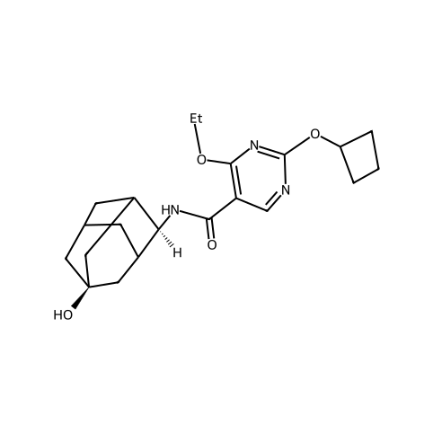 CCOc1nc(OC2CCC2)ncc1C(=O)N[C@H]1C2CC3CC1C[C@@](O)(C3)C2